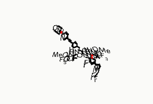 COC(=O)N[C@H](C(=O)N[C@@H](Cc1ccc(C#Cc2ccc(N3CC4COCC(C3)N4C)nc2)cc1)[C@@H](O)CN(Cc1c(F)cc(-c2ccn(CC(F)F)n2)cc1F)NC(=O)[C@@H](NC(=O)OC)C(C)(C)C(F)(F)F)C(C)(C)C(F)(F)F